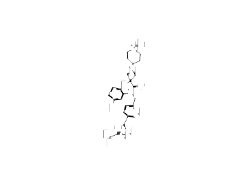 CC(C)N1CCC(N2CC(F)(C(=O)N(Cc3ccc(-c4nnc(C(F)F)o4)cn3)c3cccc(F)c3)C2)CC1